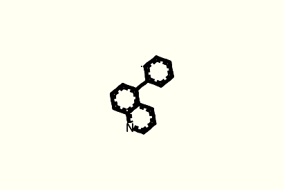 [c]1ccccc1-c1cccc2ncccc12